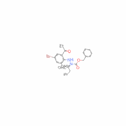 CCC(=O)c1cc(Br)cc(OC)c1NN(C(=O)OCc1ccccc1)C(C=O)CC(C)C